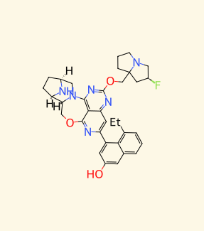 CCc1cccc2cc(O)cc(-c3cc4nc(OCC56CCCN5C[C@@H](F)C6)nc5c4c(n3)OC[C@@H]3[C@H]4CC[C@@H](CN53)N4)c12